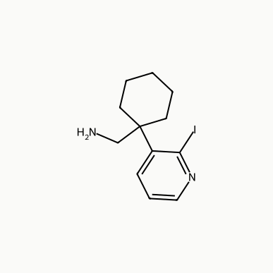 NCC1(c2cccnc2I)CCCCC1